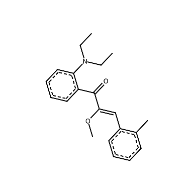 CCN(CC)c1ccccc1C(=O)C(=Cc1ccccc1C)OC